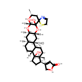 C[C@@H]1CC2(N=CCS2)C2(O)O[C@@H]3C[C@]4(C=O)C5CC[C@]6(C)[C@@H](C7=CC(=O)OC7)CC[C@]6(O)[C@@H]5CC[C@H]4C[C@H]3O[C@@H]2O1